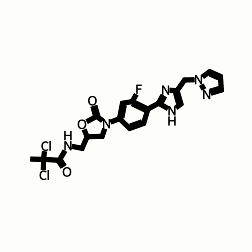 CC(Cl)(Cl)C(=O)NCC1CN(c2ccc(-c3nc(Cn4cccn4)c[nH]3)c(F)c2)C(=O)O1